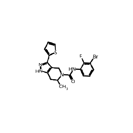 CC1Cc2[nH]nc(-c3cccs3)c2CN1C(=O)Nc1cccc(Br)c1F